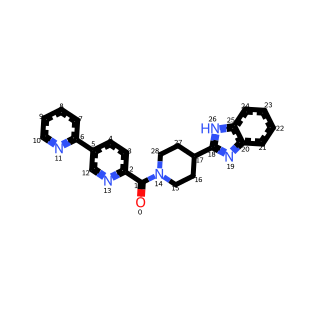 O=C(c1ccc(-c2ccccn2)cn1)N1CCC(c2nc3ccccc3[nH]2)CC1